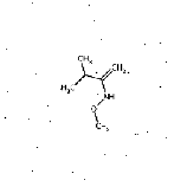 C=C(NOC)C(C)C